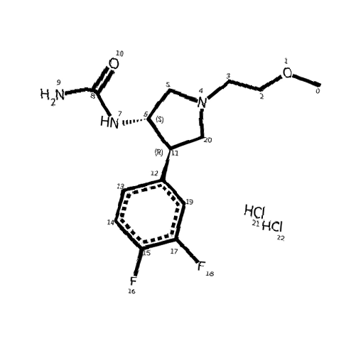 COCCN1C[C@@H](NC(N)=O)[C@H](c2ccc(F)c(F)c2)C1.Cl.Cl